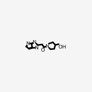 O=C(CC1=NC2=CC=NC2=N1)N1CCC(CO)CC1